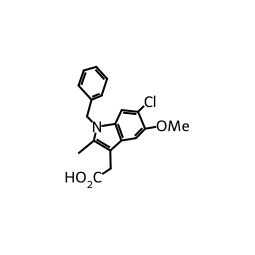 COc1cc2c(CC(=O)O)c(C)n(Cc3ccccc3)c2cc1Cl